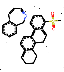 C1=Cc2ccccc2CN=C1.CS(=O)(=O)c1cccc2c1=CCc1c3c(ccc1=2)=CCCC3